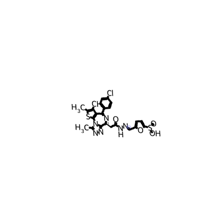 Cc1sc2c(c1C)C(c1ccc(Cl)cc1)=N[C@@H](CC(=O)N/N=C/c1ccc(S(=O)O)o1)c1nnc(C)n1-2